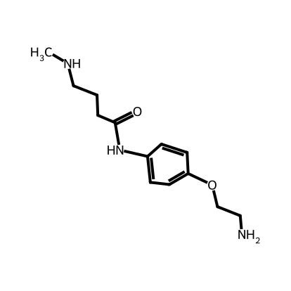 CNCCCC(=O)Nc1ccc(OCCN)cc1